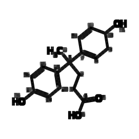 CC(CCC(=O)O)(C1=CCC(O)C=C1)c1ccc(O)cc1